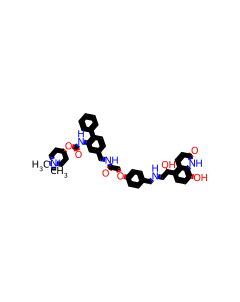 C[N+]1(C)CCC(OC(=O)Nc2cc(CNC(=O)COc3ccc(CNC[C@H](O)c4ccc(O)c5[nH]c(=O)ccc45)cc3)ccc2-c2ccccc2)CC1